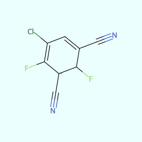 N#C[C]1C(F)=C(Cl)C=C(C#N)C1F